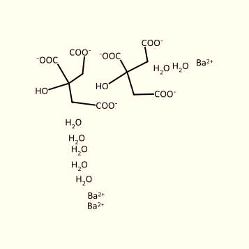 O.O.O.O.O.O.O.O=C([O-])CC(O)(CC(=O)[O-])C(=O)[O-].O=C([O-])CC(O)(CC(=O)[O-])C(=O)[O-].[Ba+2].[Ba+2].[Ba+2]